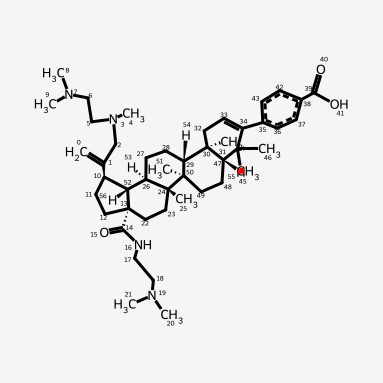 C=C(CN(C)CCN(C)C)[C@@H]1CC[C@]2(C(=O)NCCN(C)C)CC[C@]3(C)[C@H](CC[C@@H]4[C@@]5(C)CC=C(c6ccc(C(=O)O)cc6)C(C)(C)[C@@H]5CC[C@]43C)[C@@H]12